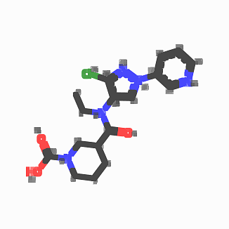 CCN(C(=O)C1CCCN(C(=O)O)C1)c1cn(-c2cccnc2)nc1Cl